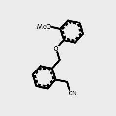 COc1ccccc1OCc1ccccc1CC#N